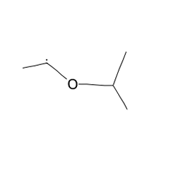 C[CH]OC(C)C